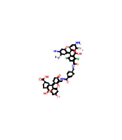 Cc1cc2c(-c3c(Cl)cc(C(=O)NCc4ccc(C(=O)NCc5c6oc7cc(O)ccc7c(-c7cc(C(=O)O)ccc7C(=O)O)c-6ccc5=O)cc4)c(Cl)c3C(=O)O)c3cc(C)c(=N)cc-3oc2cc1N